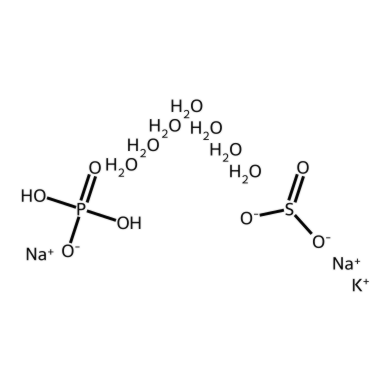 O.O.O.O.O.O.O.O=P([O-])(O)O.O=S([O-])[O-].[K+].[Na+].[Na+]